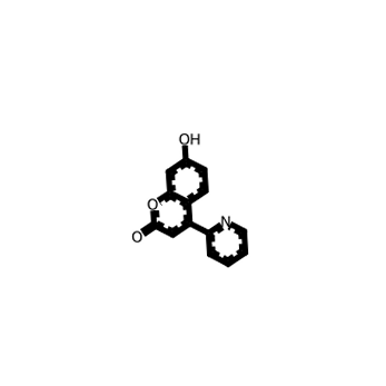 O=c1cc(-c2ccccn2)c2ccc(O)cc2o1